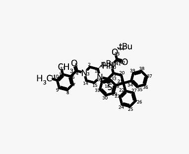 CCCC[C@H]1CN(C(=O)c2cccc(C)c2C)CCN1C(=S)C(CC(c1ccccc1)(c1ccccc1)c1ccccc1)NC(=O)OC(C)(C)C